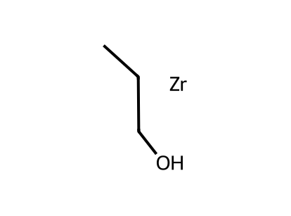 CCCO.[Zr]